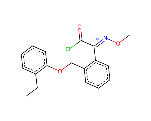 CCc1ccccc1OCc1ccccc1/C(=N\OC)C(=O)Cl